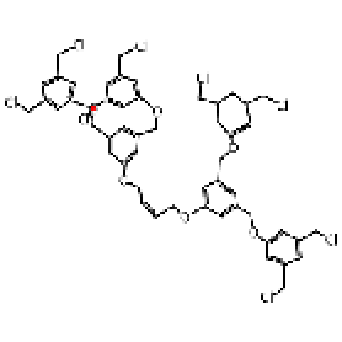 ClCc1cc(CCl)cc(OCc2cc(COC3=CC(CCl)CC(CCl)C3)cc(OC/C=C\COc3cc(COc4cc(CCl)cc(CCl)c4)cc(COc4cc(CCl)cc(CCl)c4)c3)c2)c1